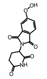 O=C1CCC(N2C(=O)c3ccc(OO)cc3C2=O)C(=O)N1